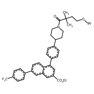 CCOC(=O)c1cc(-c2ccc(C3CCN(C(=O)C(C)(C)CCOC(C)C)CC3)cc2)c2ccc(-c3ccc(C(F)(F)F)cc3)cc2c1